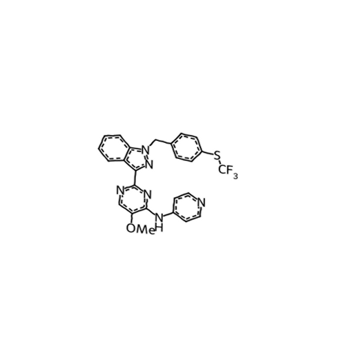 COc1cnc(-c2nn(Cc3ccc(SC(F)(F)F)cc3)c3ccccc23)nc1Nc1ccncc1